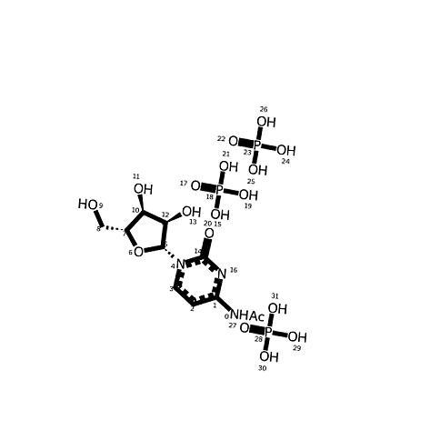 CC(=O)Nc1ccn([C@@H]2O[C@H](CO)[C@@H](O)[C@H]2O)c(=O)n1.O=P(O)(O)O.O=P(O)(O)O.O=P(O)(O)O